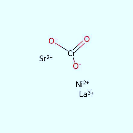 [La+3].[Ni+2].[O]=[Cr]([O-])[O-].[Sr+2]